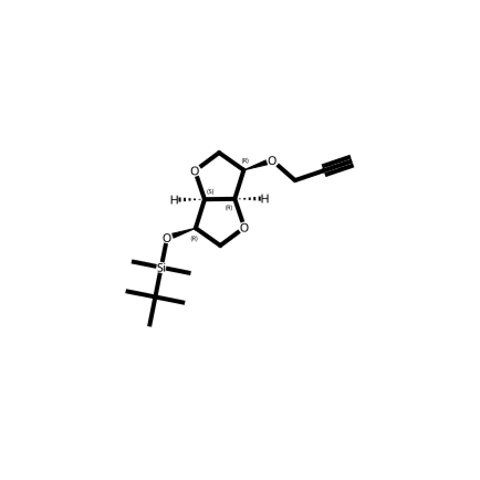 C#CCO[C@@H]1CO[C@H]2[C@@H]1OC[C@H]2O[Si](C)(C)C(C)(C)C